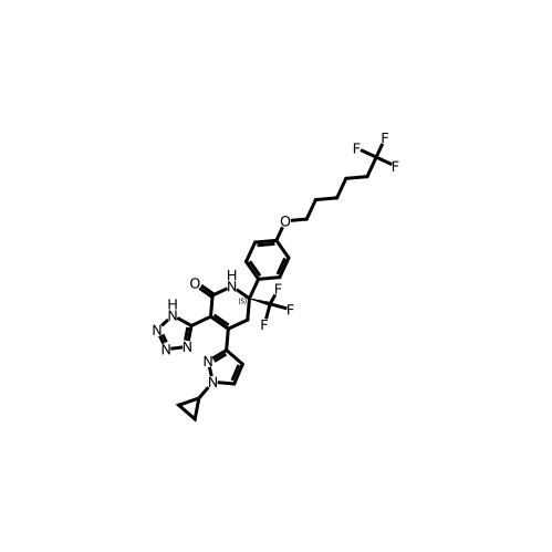 O=C1N[C@@](c2ccc(OCCCCCC(F)(F)F)cc2)(C(F)(F)F)CC(c2ccn(C3CC3)n2)=C1c1nnn[nH]1